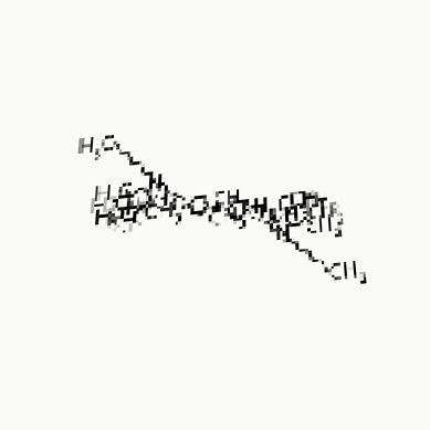 CCCCCCCCN(CC(O)COc1ccc(C(C)(C)c2ccc(OCC(O)CN(CCCCCCCC)C3CC(C)(C)N(C)C(C)(C)C3)cc2)cc1)C1CC(C)(C)N(C)C(C)(C)C1